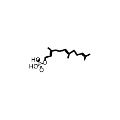 CC(C)=CCC/C(C)=C/CCC(C)=CCOP(=O)(O)O